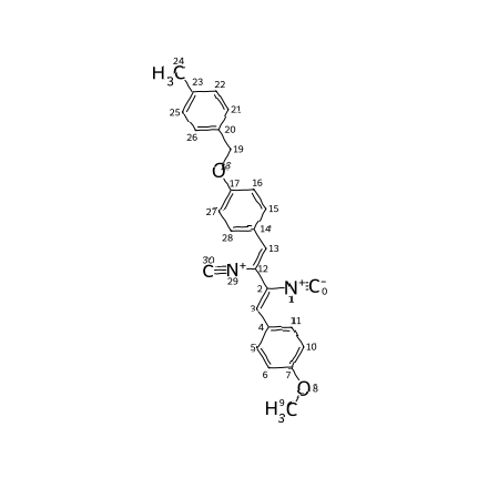 [C-]#[N+]C(=Cc1ccc(OC)cc1)C(=Cc1ccc(OCc2ccc(C)cc2)cc1)[N+]#[C-]